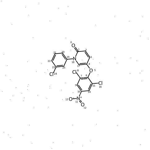 O=c1ccc(Oc2c(Cl)cc([N+](=O)[O-])cc2Cl)cn1-c1cccc(Cl)c1